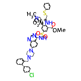 COC(=O)c1cc(S(=O)(=O)Nc2ncnc3cc(N4CCN(Cc5ccccc5-c5ccc(Cl)cc5)CC4)ccc23)cc([N+](=O)[O-])c1N[C@H](CCN(C)C)CSc1ccccc1